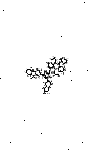 CC1(C)c2ccccc2-c2ccc(-c3nc(-c4ccc5ccccc5c4)nc(-n4c5ccc6cccc7c6c5c5c6c(ccc8c9ccccc9n7c86)ccc54)n3)cc21